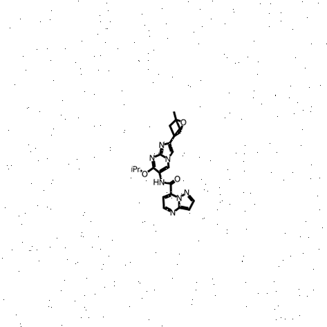 CC(C)Oc1nc2nc(C34COC(C)(C3)C4)cn2cc1NC(=O)c1ccnc2ccnn12